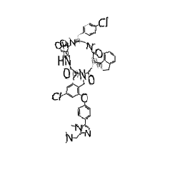 C[C@H]1C(=O)N[C@@H](CO)C(=O)N(C)[C@H](Cc2ccc(Cl)cc2)CN(C)C(=O)[C@H]([C@H]2CCc3ccccc32)CC(=O)N1Cc1ccc(Cl)cc1Oc1ccc(-c2cnc(CN(C)C)n2C)cc1